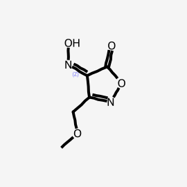 COCC1=NOC(=O)/C1=N\O